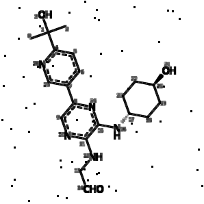 CC(C)(O)c1ccc(-c2cnc(NCC=O)c(N[C@H]3CC[C@H](O)CC3)n2)cn1